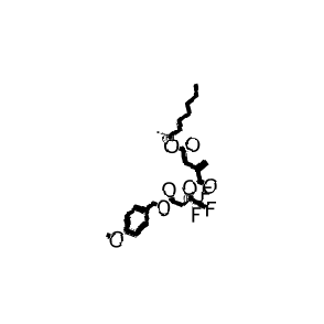 C=C(CC(=O)O[C@H](C)CCCCCC)C(=O)O[C@H](CC(=O)OCc1ccc(OC)cc1)C(F)(F)F